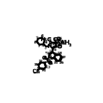 CC1N(CC2CCCCC2)C(c2cn(S(=O)(=O)c3ccc(Cl)cc3)c3ccccc23)=CC1(C)S(N)(=O)=O